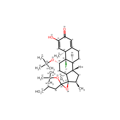 C[C@@H]1C[C@H]2[C@@H]3CCC4=CC(=O)C(O)=C[C@]4(C)[C@@]3(F)[C@@H](O[Si](C)(C)C)C[C@]2(C)[C@]12OC2(CCC(=O)O)O[Si](C)(C)C